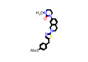 CSc1ccc(Cc2cnc(N3CCc4ccc(N5CCCN(C)C5=O)cc4C3)s2)cc1